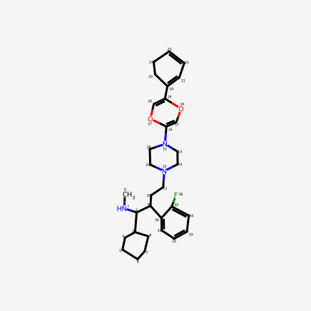 CNC(C1CCCCC1)C(CCN1CCN(C2=COC(C3=CC=CCC3)=CO2)CC1)c1ccccc1F